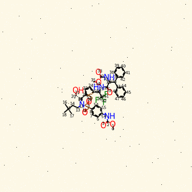 COC(=O)Nc1ccc(S(=O)(=O)N(CCC(C)(C)C)[C@H](CO)c2ccc([C@@H](NC(=O)[C@@H](NC(=O)OC)C(c3ccccc3)c3ccccc3)C(F)(F)F)s2)cc1